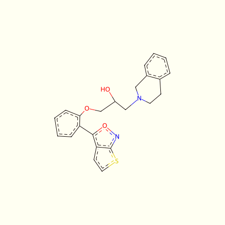 OC(COc1ccccc1-c1onc2sccc12)CN1CCc2ccccc2C1